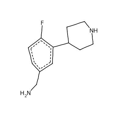 NCc1ccc(F)c(C2CCNCC2)c1